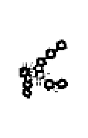 CC1(C)C2=C(N[C@H](c3ccc4oc5ccccc5c4c3)NC2n2c3ccccc3c3cc4ccccc4cc32)c2cc(-c3ccc(-c4ccccc4)cc3)ccc21